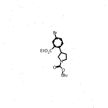 CCOC(=O)c1cc(Br)ccc1C1CCN(C(=O)OC(C)(C)C)C1